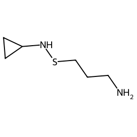 NCCCSNC1CC1